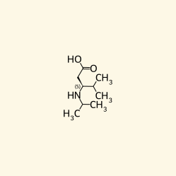 CC(C)N[C@@H](CC(=O)O)C(C)C